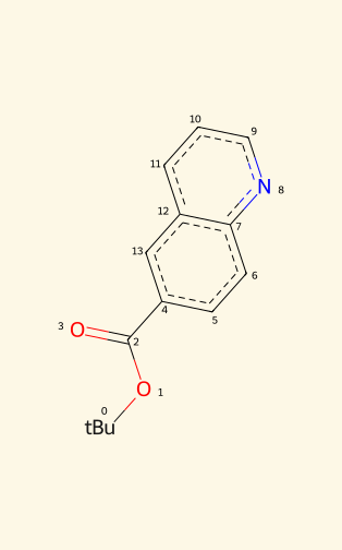 CC(C)(C)OC(=O)c1ccc2ncccc2c1